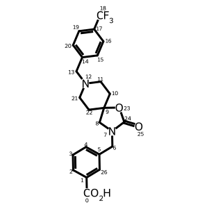 O=C(O)c1cccc(CN2CC3(CCN(Cc4ccc(C(F)(F)F)cc4)CC3)OC2=O)c1